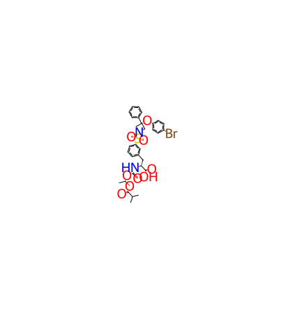 CC(OC(=O)N[C@@H](Cc1cccc(S(=O)(=O)N2CC(Oc3ccc(Br)cc3)(c3ccccc3)C2)c1)C(=O)O)OC(=O)C(C)C